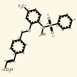 CCCN(c1ccc(C(F)(F)F)cc1OCc1ccc(/C=C/C(=O)O)cc1)S(=O)(=O)c1ccccc1